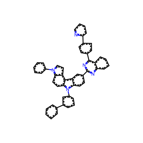 c1ccc(-c2cccc(-n3c4ccc(-c5nc(-c6ccc(-c7ccccn7)cc6)c6ccccc6n5)cc4c4c5ccn(-c6ccccc6)c5ccc43)c2)cc1